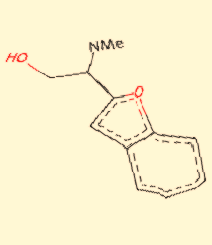 CNC(CO)c1cc2ccccc2o1